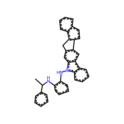 CC(Nc1ccccc1Nn1c2ccccc2c2cc3c(cc21)Cc1c-3ccc2ccccc12)c1ccccc1